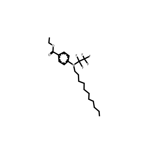 CCCCCCCCCCCN(c1ccc(C(=O)OCC)cc1)C(F)(F)C(F)(F)F